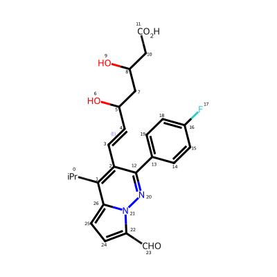 CC(C)c1c(/C=C/C(O)CC(O)CC(=O)O)c(-c2ccc(F)cc2)nn2c(C=O)ccc12